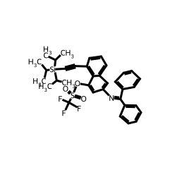 CC(C)[Si](C#Cc1cccc2cc(N=C(c3ccccc3)c3ccccc3)cc(OS(=O)(=O)C(F)(F)F)c12)(C(C)C)C(C)C